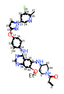 C=CC(=O)N1CCC(Nc2cc3c(Nc4ccc(Oc5ccn(-c6cnc(C)c(F)c6)n5)cc4F)ncnc3cc2OCC)CC1